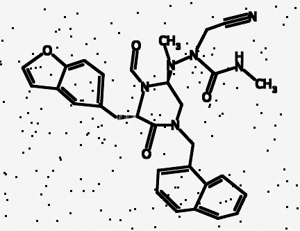 CNC(=O)N(CC#N)N(C)[C@H]1CN(Cc2cccc3ccccc23)C(=O)[C@H](Cc2ccc3occc3c2)N1C=O